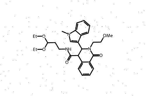 CCOC(CCNC(=O)C1c2ccccc2C(=O)N(CCOC)C1c1cn(C)c2ccccc12)OCC